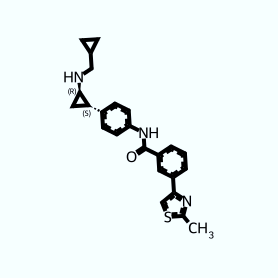 Cc1nc(-c2cccc(C(=O)Nc3ccc([C@@H]4C[C@H]4NCC4CC4)cc3)c2)cs1